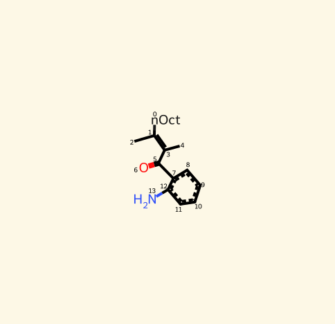 CCCCCCCC/C(C)=C(\C)C(=O)c1ccccc1N